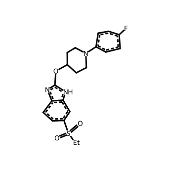 CCS(=O)(=O)c1ccc2nc(OC3CCN(c4ccc(F)cc4)CC3)[nH]c2c1